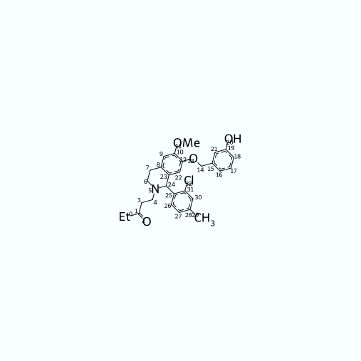 CCC(=O)CCN1CCc2cc(OC)c(OCc3cccc(O)c3)cc2C1c1ccc(C)cc1Cl